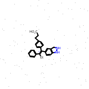 CC/C(=C(/c1ccc(CCC(=O)O)cc1)c1ccc2c(c1)CNN2)c1ccccc1